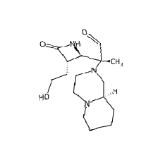 C[C@](C=O)([C@@H]1NC(=O)[C@H]1CCO)N1CCN2CCCC[C@@H]2C1